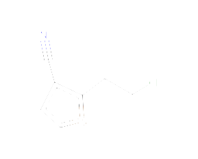 N#Cc1ccsc1CCCl